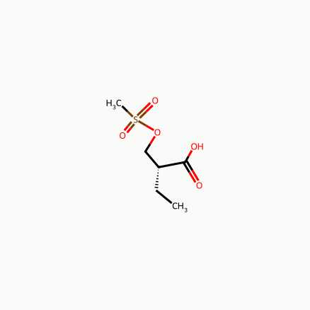 CC[C@H](COS(C)(=O)=O)C(=O)O